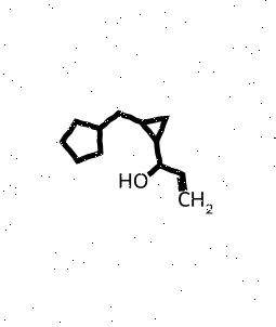 C=CC(O)C1CC1CC1CCCC1